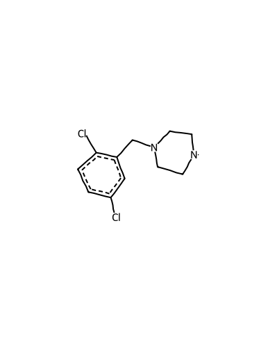 Clc1ccc(Cl)c(CN2CC[N]CC2)c1